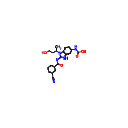 CC(CCO)n1/c(=N/C(=O)c2cccc(C#N)c2)[nH]c2cc(NC(=O)O)ccc21